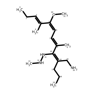 CC/C=C(C)/C(=C\C=C(C)\C(NNC)=C(/CN)CCC)OC